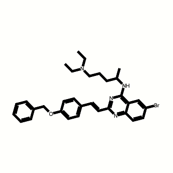 CCN(CC)CCCC(C)Nc1nc(C=Cc2ccc(OCc3ccccc3)cc2)nc2ccc(Br)cc12